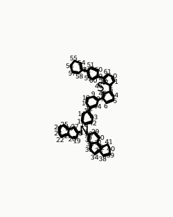 C1=CC2c3cccc(-c4cccc(-c5ccc(N(c6ccc7ccccc7c6)c6ccc7c8c(ccc7c6)C=CCC8)cc5)c4)c3SC2C(c2ccc(C3=CCCC=C3)cc2)=C1